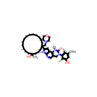 CCN1C(=O)N(c2c(F)c(O)cc(OC)c2F)Cc2cnc3[nH]c(C4(CN5CCOCC5)CCCCCCCCCCCCCC(C)(O)CCC4)cc3c21